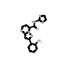 O=C(Nc1nccs1)c1ccnc2cc(-c3ccccc3C(F)(F)F)nn12